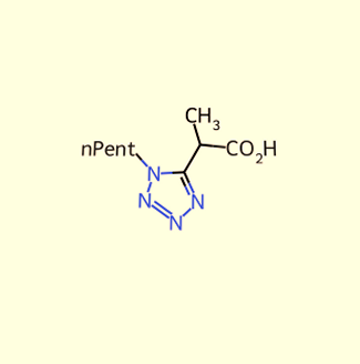 CCCCCn1nnnc1C(C)C(=O)O